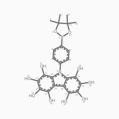 CC1(C)OB(c2ccc(-n3c4c(O)c(O)c(O)c(O)c4c4c(O)c(O)c(O)c(O)c43)cc2)OC1(C)C